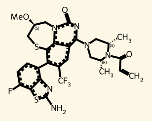 C=CC(=O)N1[C@H](C)CN(c2nc(=O)n3c4c(c(-c5ccc(F)c6sc(N)nc56)c(C(F)(F)F)cc24)SC[C@@H](OC)C3)C[C@@H]1C